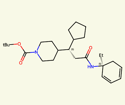 CC[C@@]1(NC(=O)C[C@@H](C2CCCC2)C2CCN(C(=O)OC(C)(C)C)CC2)C=CC=CC1